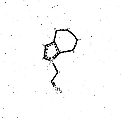 C=CCn1ccc2c1CCCC2